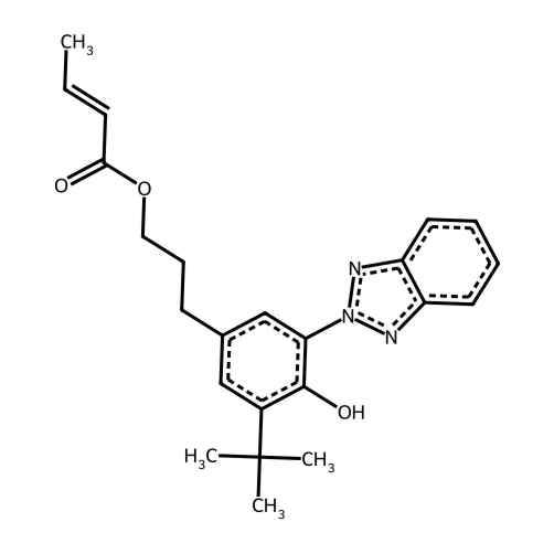 CC=CC(=O)OCCCc1cc(-n2nc3ccccc3n2)c(O)c(C(C)(C)C)c1